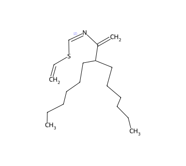 C=CS/C=N\C(=C)C(CCCCCC)CCCCCC